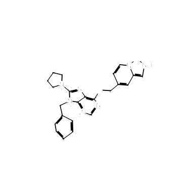 C1=CN2ONC=C2C=C1CSc1ncnc2c1nc(N1CCCC1)n2Cc1ccccc1